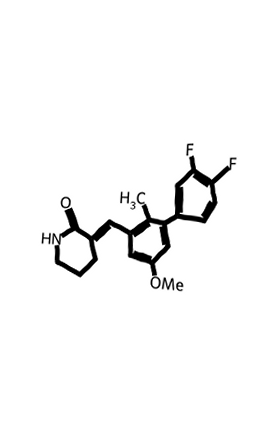 COc1cc(/C=C2\CCCNC2=O)c(C)c(-c2ccc(F)c(F)c2)c1